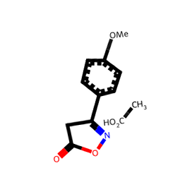 CC(=O)O.COc1ccc(C2=NOC(=O)C2)cc1